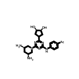 CC(=O)c1ccc(Nc2nc(C3C[C@@H](O)[C@@H](O)C3)nc(N3C[C@H](N)C[C@H](N)C3)n2)cc1